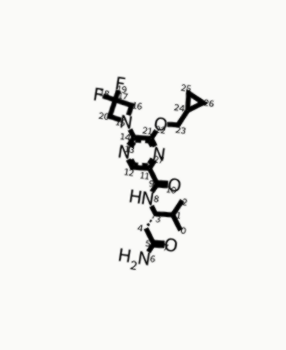 CC(C)[C@H](CC(N)=O)NC(=O)c1cnc(N2CC(F)(F)C2)c(OCC2CC2)n1